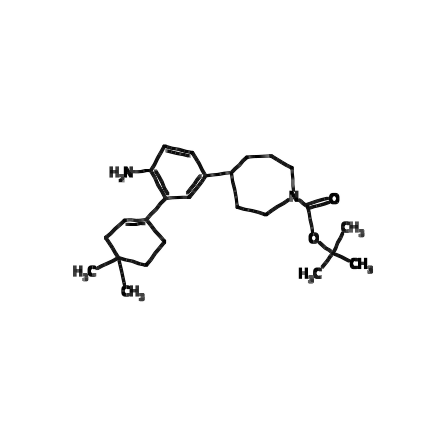 CC1(C)CC=C(c2cc(C3CCCN(C(=O)OC(C)(C)C)CC3)ccc2N)CC1